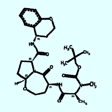 C[C@@H](C(=O)N[C@H]1CCO[C@H]2CC[C@H](C(=O)N[C@H]3CCOc4ccccc43)N2C1=O)N(C)C(=O)OC(C)(C)C